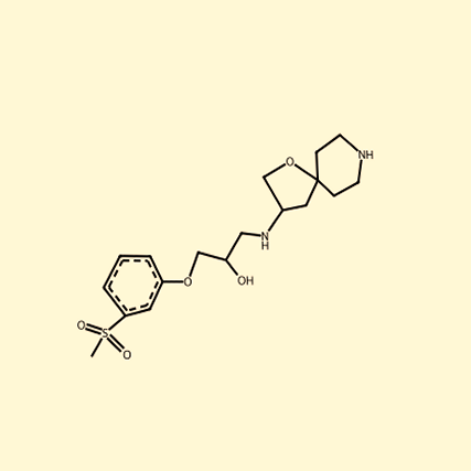 CS(=O)(=O)c1cccc(OCC(O)CNC2COC3(CCNCC3)C2)c1